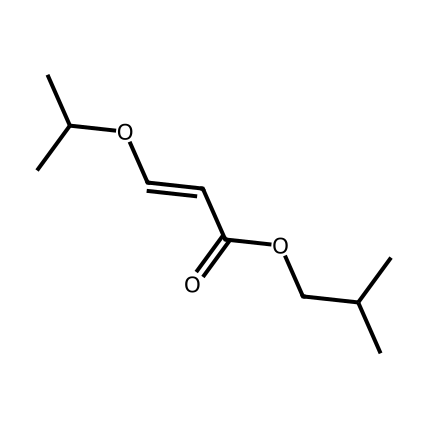 CC(C)COC(=O)C=COC(C)C